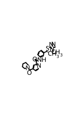 C[C@H](Sc1nncn1C)c1cccc(NC(=O)c2cc(C(=O)N3CCCCC3)ccn2)c1